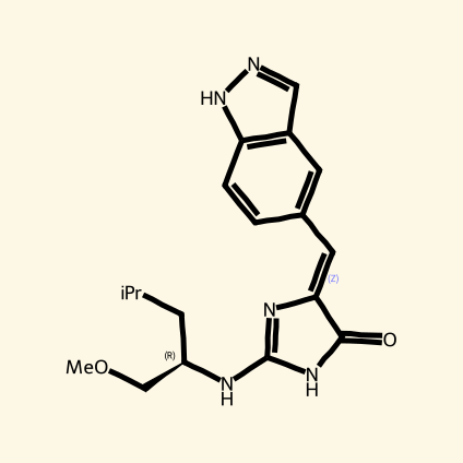 COC[C@@H](CC(C)C)NC1=N/C(=C\c2ccc3[nH]ncc3c2)C(=O)N1